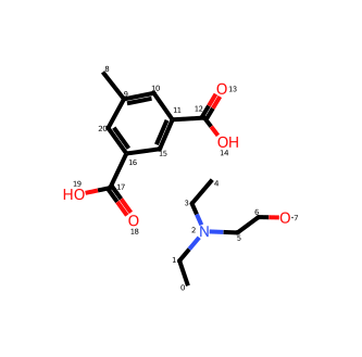 CCN(CC)CC[O].Cc1cc(C(=O)O)cc(C(=O)O)c1